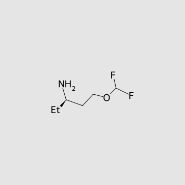 CC[C@@H](N)CCOC(F)F